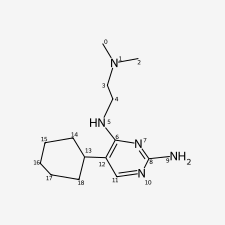 CN(C)CCNc1nc(N)ncc1C1CCCCC1